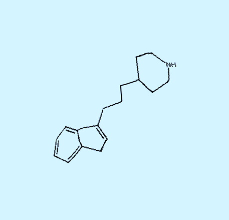 C1=C(CCCC2CCNCC2)c2ccccc2C1